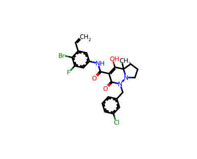 C=Cc1cc(NC(=O)C2=C(O)C3(C)CCCN3N(Cc3cccc(Cl)c3)C2=O)cc(F)c1Br